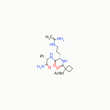 C=C(N)NCCC[C@H](NC(=O)C1(NC(C)=O)CCC1)C(=O)N[C@H](C(N)=O)C(C)C